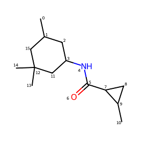 CC1CC(NC(=O)C2CC2C)CC(C)(C)C1